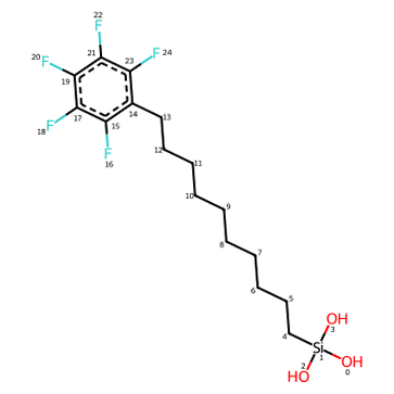 O[Si](O)(O)CCCCCCCCCCc1c(F)c(F)c(F)c(F)c1F